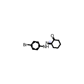 O=C1CCCC/C1=N\Nc1ccc(Br)cc1